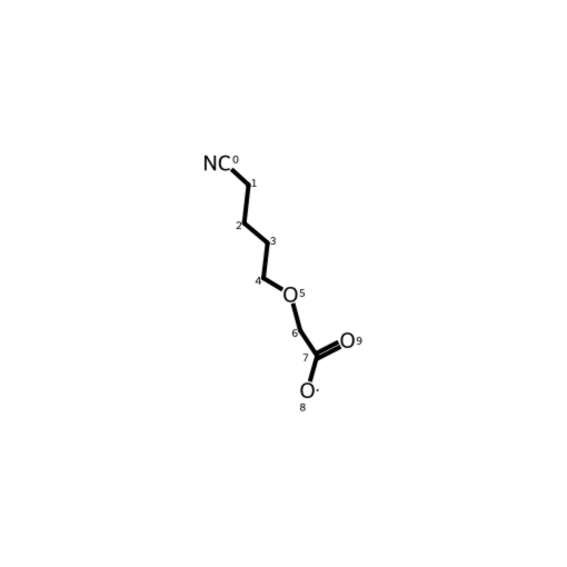 N#CCCCCOCC([O])=O